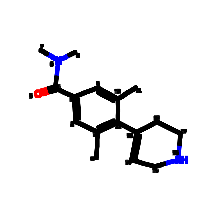 Cc1cc(C(=O)N(C)C)cc(C)c1C1=CCNCC1